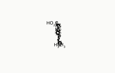 C/C=C\C(=C/C)SCCOC1=CCC2N=C(C3=N[C@@H](C(=O)O)CS3)SC2=C1